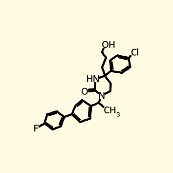 CC(c1ccc(-c2ccc(F)cc2)cc1)N1CCC(CCCO)(c2ccc(Cl)cc2)NC1=O